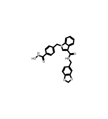 O=C(NO)c1ccc(Cn2cc(C(=O)NCc3ccc4c(c3)OCO4)c3ccccc32)cc1